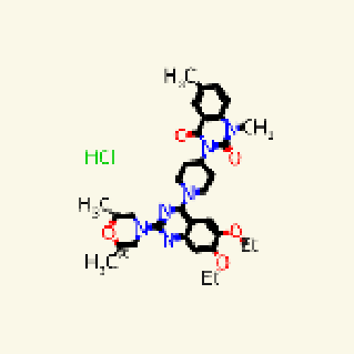 CCOc1cc2nc(N3C[C@@H](C)O[C@@H](C)C3)nc(N3CCC(n4c(=O)c5cc(C)ccc5n(C)c4=O)CC3)c2cc1OCC.Cl